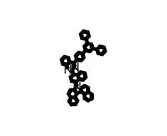 c1ccc(-c2cc(-c3ccccc3)cc(-c3ccc(-c4nc(-c5ccc(-n6c7ccc8ccccc8c7c7c8ccccc8ccc76)c6ccccc56)nc5ccccc45)cc3)c2)cc1